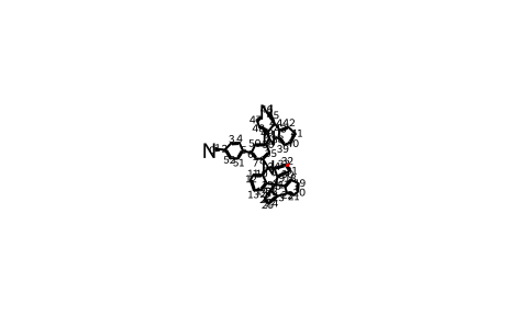 N#Cc1ccc(-c2cc(N3c4ccccc4C4(c5ccccc5-c5ccccc54)c4ccccc43)cc(-n3c4ccccc4c4cnccc43)c2)cc1